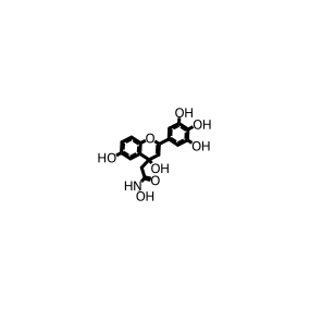 O=C(CC1(O)C=C(c2cc(O)c(O)c(O)c2)Oc2ccc(O)cc21)NO